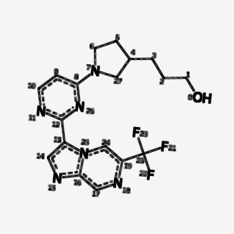 OCCCC1CCN(c2ccnc(-c3cnc4cnc(C(F)(F)F)cn34)n2)C1